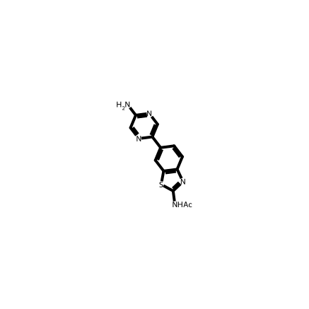 CC(=O)Nc1nc2ccc(-c3cnc(N)cn3)cc2s1